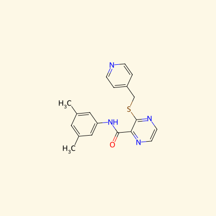 Cc1cc(C)cc(NC(=O)c2nccnc2SCc2ccncc2)c1